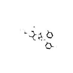 CO[C@@]1(N[PH2](c2cccc(Cl)c2)c2cccc(Cl)c2)C(=O)N2C(C(=O)OC(C)(C)C)=C(COC(N)=O)CS[C@H]21